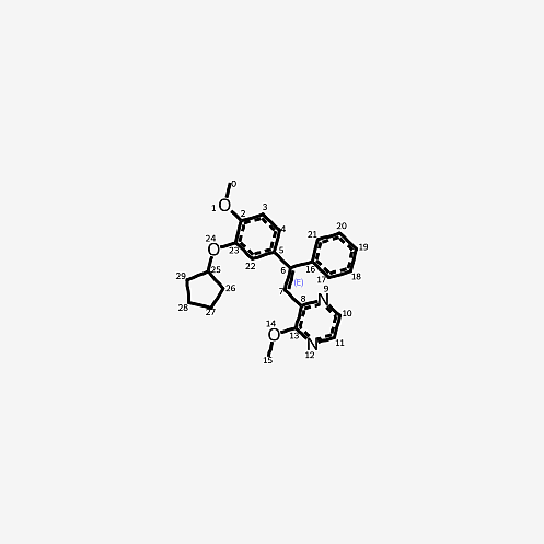 COc1ccc(/C(=C/c2nccnc2OC)c2ccccc2)cc1OC1CCCC1